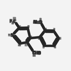 COc1ccccc1-c1cc(C(F)(F)F)ncc1C=O